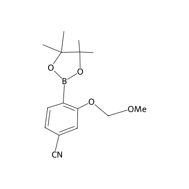 COCOc1cc(C#N)ccc1B1OC(C)(C)C(C)(C)O1